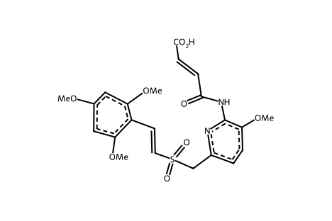 COc1cc(OC)c(C=CS(=O)(=O)Cc2ccc(OC)c(NC(=O)C=CC(=O)O)n2)c(OC)c1